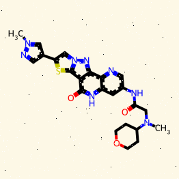 CN(CC(=O)Nc1cnc2c(c1)[nH]c(=O)c1c2nn2cc(-c3cnn(C)c3)sc12)C1CCOCC1